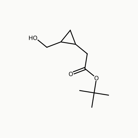 CC(C)(C)OC(=O)CC1CC1CO